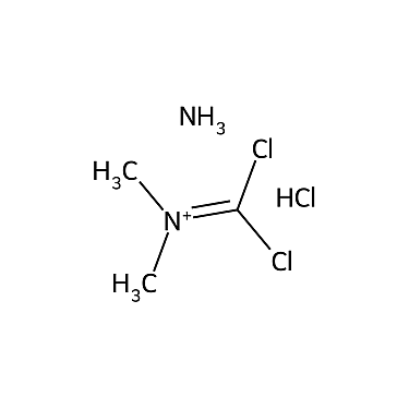 C[N+](C)=C(Cl)Cl.Cl.N